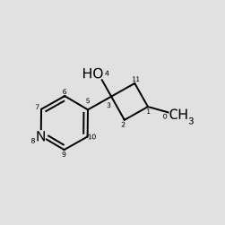 CC1CC(O)(c2ccncc2)C1